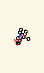 c1ccc(-c2ccc(N(c3ccc4oc5ccccc5c4c3)c3ccc4ccccc4c3-c3cccc4ccccc34)c(-c3ccc4ccccc4c3)c2)cc1